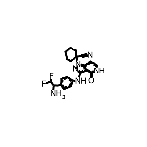 N#CC1(n2nc(Nc3ccc(C(N)C(F)F)cc3)c3c(=O)[nH]ccc32)CCCCC1